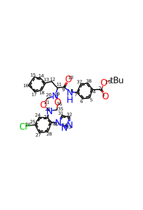 CC(C)(C)OC(=O)c1ccc(NC(=O)C(Cc2ccccc2)N2CON(c3cc(Cl)ccc3-n3ccnn3)CO2)cc1